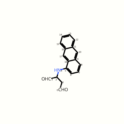 O=CCC(C=O)Nc1cccc2cc3ccccc3cc12